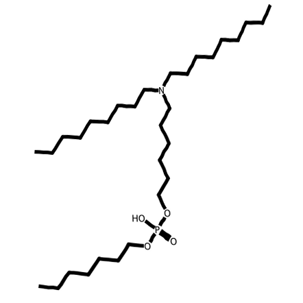 CCCCCCCCCN(CCCCCCCCC)CCCCCCOP(=O)(O)OCCCCCCC